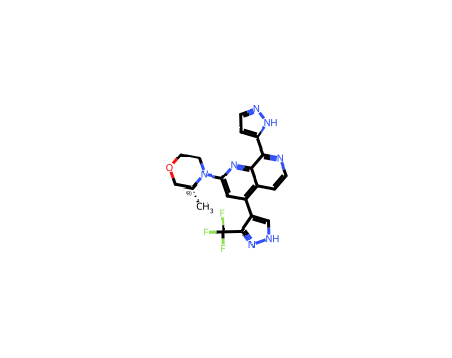 C[C@@H]1COCCN1c1cc(-c2c[nH]nc2C(F)(F)F)c2ccnc(-c3ccn[nH]3)c2n1